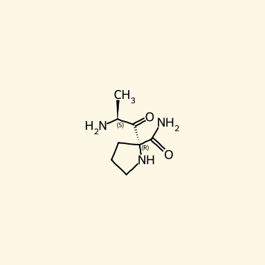 C[C@H](N)C(=O)[C@@]1(C(N)=O)CCCN1